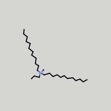 CCCCCCCCCCCC[N+](C)(CCC)CCCCCCCCCCCC